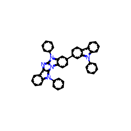 c1ccc(-n2c3ccccc3c3ccc(-c4ccc5c(c4)n(-c4ccccc4)c4nc6c7ccccc7n(-c7ccccc7)c6n54)cc32)cc1